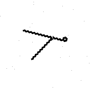 CCCCCCCCCCCCCCCCCCN(CCCCC=Cc1ccccc1)CCCCCCCCCCCCCCCCCC